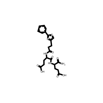 NC(=O)C(CCC(=O)O)NC(=O)C(CCC(=O)O)NC(=O)CCc1csc(-c2ccccc2)n1